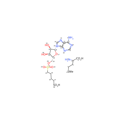 CSCCC(N)C(=O)O.Nc1ncnc2c1ncn2[C@@H]1O[C@H](COS(=O)(=O)CCCCS(=O)(=O)O)[C@@H](O)[C@H]1O